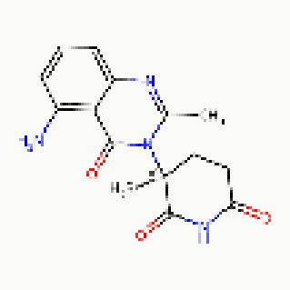 B[C@]1(n2c(C)nc3cccc(N)c3c2=O)CCC(=O)NC1=O